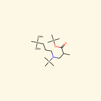 CO[Si](C)(CCCN(CC(C)C(=O)O[Si](C)(C)C)[Si](C)(C)C)OC